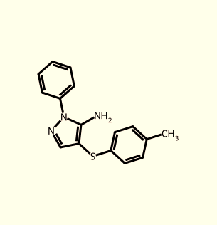 Cc1ccc(Sc2cnn(-c3ccccc3)c2N)cc1